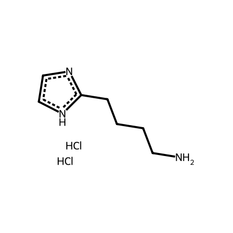 Cl.Cl.NCCCCc1ncc[nH]1